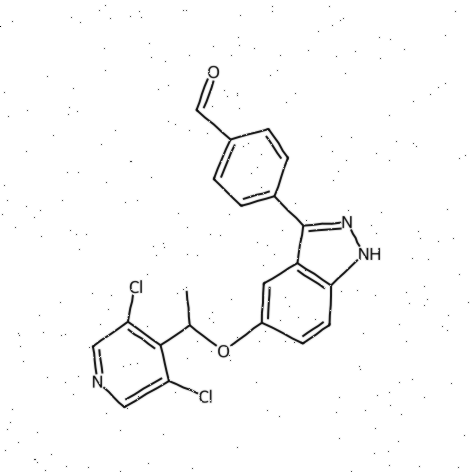 CC(Oc1ccc2[nH]nc(-c3ccc(C=O)cc3)c2c1)c1c(Cl)cncc1Cl